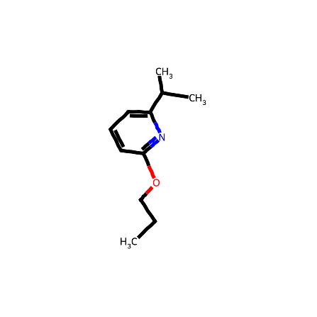 CCCOc1cccc(C(C)C)n1